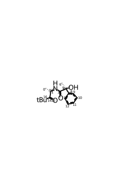 C[C@H](NC(=O)[C@@](C)(O)c1ccccc1)C(=O)C(C)(C)C